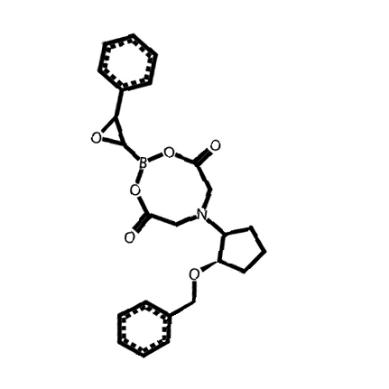 O=C1CN(C2CCC[C@H]2OCc2ccccc2)CC(=O)OB(C2OC2c2ccccc2)O1